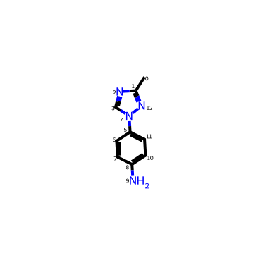 Cc1ncn(-c2ccc(N)cc2)n1